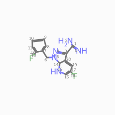 N=C(N)C1=NN(Cc2ccccc2F)C2NC=C(F)C=C12